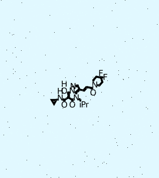 CC(C)Cn1c(=O)c(C(=O)NC2CC2)c(O)n2ncc(/C=C/C(=O)N3CCC(F)(F)CC3)c12